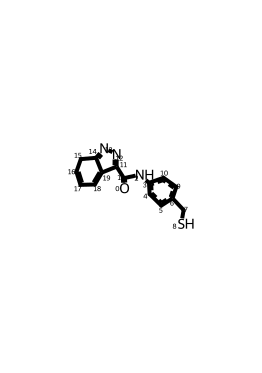 O=C(Nc1ccc(CS)cc1)C1=NN=C2CC=CC=C21